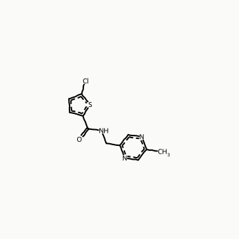 Cc1cnc(CNC(=O)c2ccc(Cl)s2)cn1